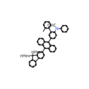 CCCCCCC1(CCCCCC)c2ccccc2-c2ccc(-c3c4ccccc4c(-c4ccc(N(C=O)c5ccccc5)c(-c5ccccc5C)c4)c4ccccc34)cc21